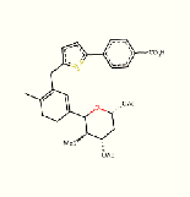 CS[C@H]1C(C2=CC(Cc3ccc(-c4ccc(C(=O)O)cc4)s3)=C(C)CC2)O[C@H](OC(C)=O)C[C@@H]1OC(C)=O